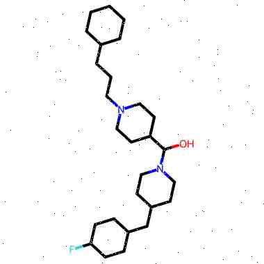 OC(C1CCN(CCCC2CCCCC2)CC1)N1CCC(CC2CCC(F)CC2)CC1